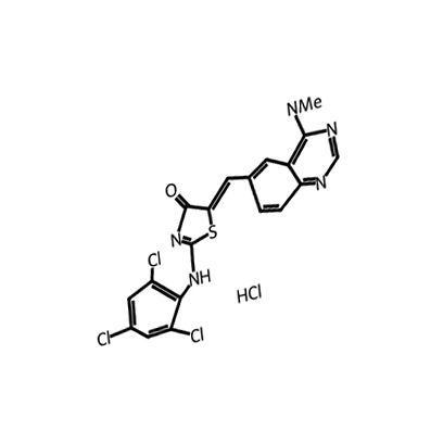 CNc1ncnc2ccc(/C=C3\SC(Nc4c(Cl)cc(Cl)cc4Cl)=NC3=O)cc12.Cl